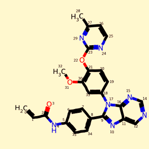 C=CC(=O)Nc1ccc(-c2nc3cncnc3n2-c2ccc(Oc3nccc(C)n3)c(OC)c2)cc1